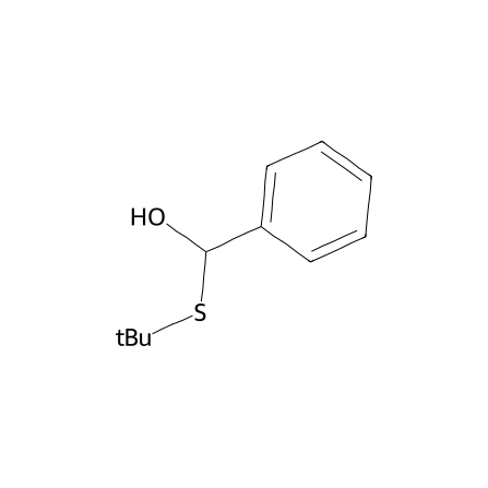 CC(C)(C)SC(O)c1ccccc1